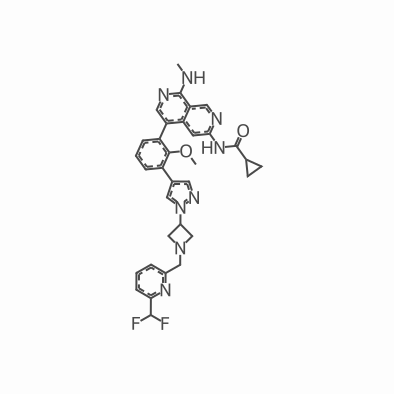 CNc1ncc(-c2cccc(-c3cnn(C4CN(Cc5cccc(C(F)F)n5)C4)c3)c2OC)c2cc(NC(=O)C3CC3)ncc12